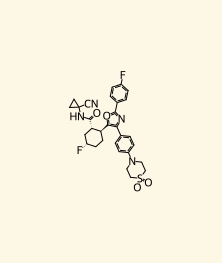 N#CC1(NC(=O)[C@H]2C[C@@H](F)CC[C@@H]2c2oc(-c3ccc(F)cc3)nc2-c2ccc(N3CCS(=O)(=O)CC3)cc2)CC1